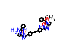 CO[C@@H](C(=O)N1CCC[C@H]1c1ncc(-c2ccc(C#Cc3ccc(-c4cnc([C@@H]5CCCN5C(=O)[C@H](N)c5ccccc5)[nH]4)cc3)cc2)[nH]1)c1ccccc1